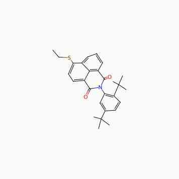 CCSc1ccc2c3c(cccc13)C(=O)N(c1cc(C(C)(C)C)ccc1C(C)(C)C)C2=O